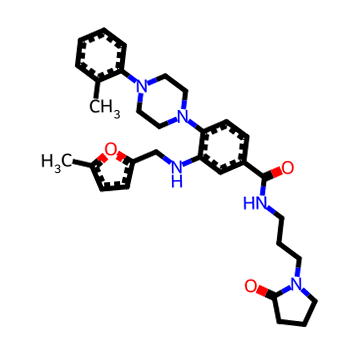 Cc1ccc(CNc2cc(C(=O)NCCCN3CCCC3=O)ccc2N2CCN(c3ccccc3C)CC2)o1